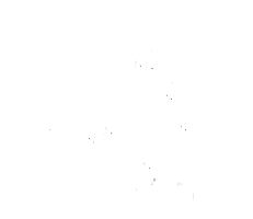 CC(=O)c1nn(CC(=O)N2[C@H](C(=O)Nc3cccc(Br)n3)C[C@@]3(C)C[C@@H]23)c2cc(C(=O)NS(=O)(=O)C3CC3)ccc12